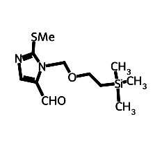 CSc1ncc(C=O)n1COCC[Si](C)(C)C